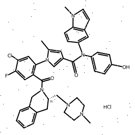 Cc1cc(C(=O)N(c2ccc(O)cc2)c2ccc3c(ccn3C)c2)cn1-c1cc(Cl)c(F)cc1C(=O)N1Cc2ccccc2C[C@H]1CN1CCN(C)CC1.Cl